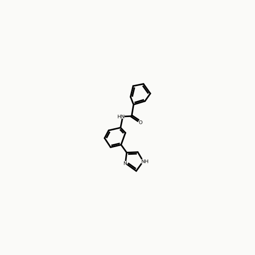 O=C(Nc1cccc(-c2c[nH]cn2)c1)c1ccccc1